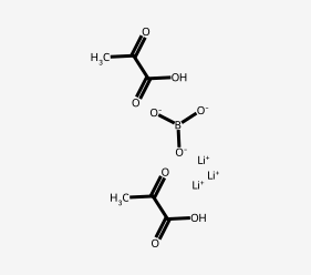 CC(=O)C(=O)O.CC(=O)C(=O)O.[Li+].[Li+].[Li+].[O-]B([O-])[O-]